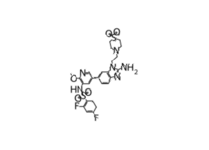 COc1ncc(-c2ccc3nc(N)n(CCN4CCS(=O)(=O)CC4)c3c2)cc1NS(=O)(=O)C1=C(F)C=C(F)CC1